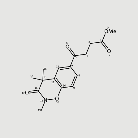 COC(=O)CCC(=O)c1ccc2c(c1)C(C)(C)C(=O)N(C)O2